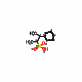 [CH2]C(c1ccccc1)C(C)S(=O)(=O)O